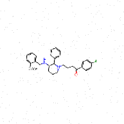 COc1ccccc1CNC1CCCN(CCCC(=O)c2ccc(F)cc2)C1c1ccccc1